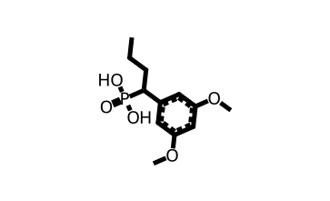 CCCC(c1cc(OC)cc(OC)c1)P(=O)(O)O